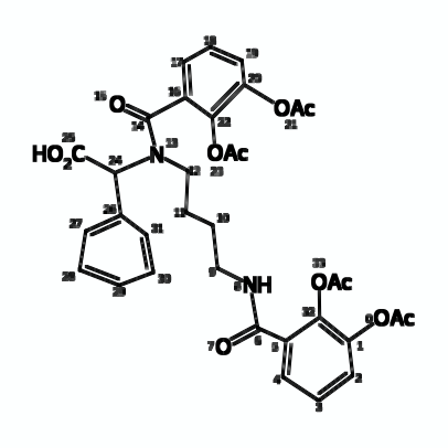 CC(=O)Oc1cccc(C(=O)NCCCCN(C(=O)c2cccc(OC(C)=O)c2OC(C)=O)C(C(=O)O)c2ccccc2)c1OC(C)=O